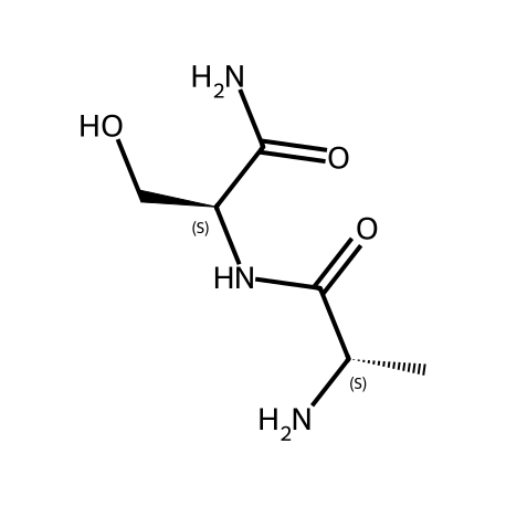 C[C@H](N)C(=O)N[C@@H](CO)C(N)=O